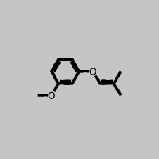 COc1cccc(OC=C(C)C)c1